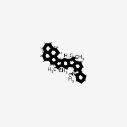 Cn1c2ccccc2c2ccc3c(c21)-c1cc2c(cc1C3(C)C)-c1c(cc3ccc4cccc5ccc1c3c45)C2(C)C